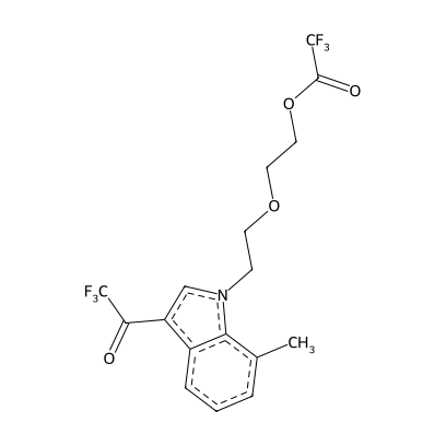 Cc1cccc2c(C(=O)C(F)(F)F)cn(CCOCCOC(=O)C(F)(F)F)c12